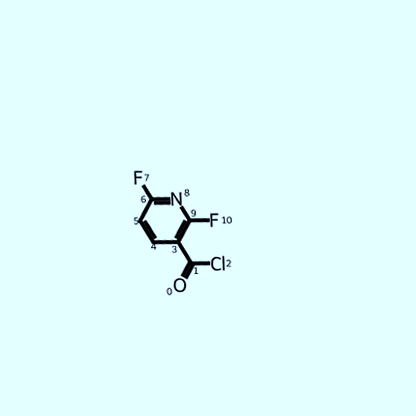 O=C(Cl)c1ccc(F)nc1F